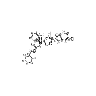 O=C(CNC(=O)[C@H](Cc1ccccn1)NC(=O)c1cc2cc(Cl)ccc2o1)OCc1ccccc1